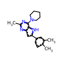 Cc1nc(N2CCCCC2)c2[nH]c(-c3ccc(C)c(C)c3)cc2n1